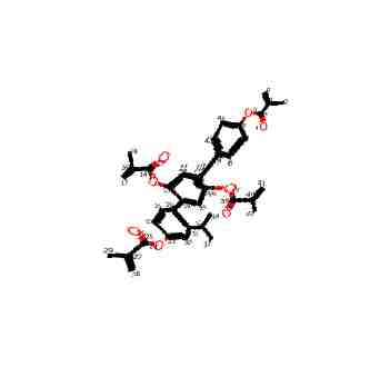 C=C(C)C(=O)Oc1ccc(-c2cc(OC(=O)C(=C)C)c(-c3ccc(OC(=O)C(=C)C)cc3C(C)C)cc2OC(=O)C(=C)C)cc1